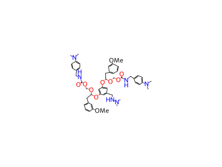 COc1cccc(CC(OCOC(=O)NCc2ccc(N(C)C)cc2)Oc2cc(CNN(C)C)cc(OC(Cc3cccc(OC)c3)OCOC(=O)NCc3ccc(N(C)C)cc3)c2)c1